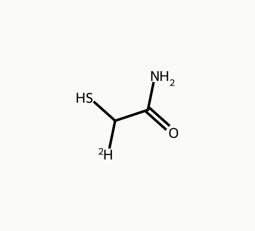 [2H]C(S)C(N)=O